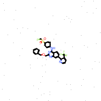 O=S(=O)(CF)c1ccc(Nc2nc(COCc3ccccc3)nc3cc(-c4ncccc4C(F)(F)F)ccc23)cc1